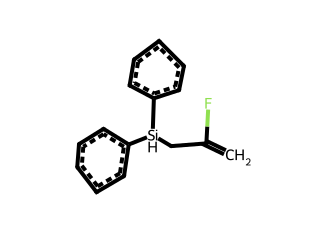 C=C(F)C[SiH](c1ccccc1)c1ccccc1